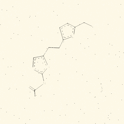 CC(=O)Nc1nc(CCc2ccc(CO)s2)cs1